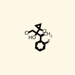 C=C(c1ccccc1F)C(O)(CCl)C1(Cl)CC1